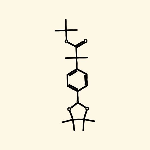 CC(C)(C)OC(=O)C(C)(C)c1ccc(B2OC(C)(C)C(C)(C)O2)cc1